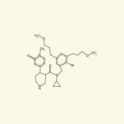 COCCCc1cc(CCCOC)c(Br)c(CN(C(=O)C2CNCCC2c2ccn(C)c(=O)c2)C2CC2)c1